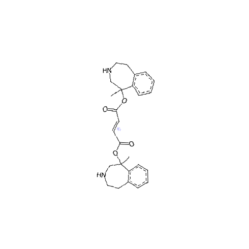 CC1(OC(=O)/C=C/C(=O)OC2(C)CNCCc3ccccc32)CNCCc2ccccc21